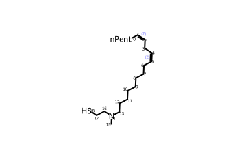 CCCCC/C=C\C/C=C\CCCCCCCCN(C)CCS